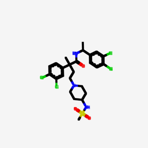 CC(NC(=O)C(C)(CCN1CCC(NS(C)(=O)=O)CC1)c1ccc(Cl)c(Cl)c1)c1ccc(Cl)c(Cl)c1